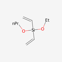 C=C[Si](C=C)(OCC)OCCC